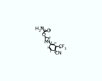 N#Cc1ccc(N2CC(OC(N)=O)C2)cc1C(F)(F)F